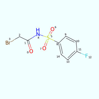 O=C(CBr)NS(=O)(=O)c1ccc(F)cc1